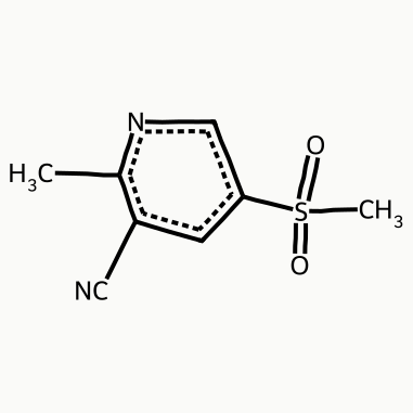 Cc1ncc(S(C)(=O)=O)cc1C#N